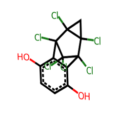 Oc1ccc(O)c2c1C1(Cl)C(Cl)(Cl)C2(Cl)C2(Cl)CC21Cl